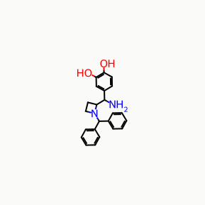 NC(c1ccc(O)c(O)c1)C1CCN1C(c1ccccc1)c1ccccc1